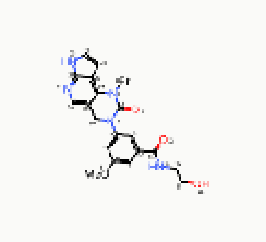 CCN1C(=O)N(c2cc(OC)cc(C(=O)NCCO)c2)Cc2cnc3[nH]ccc3c21